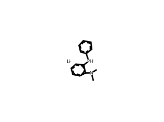 CN(C)c1ccccc1Pc1ccccc1.[Li]